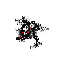 CCCS(=O)(=O)NCCCOc1ccc(NC(=O)NC(=O)C[C@@H]2NC(=O)[C@H](NC(=O)[C@@H](CC(C)C)NC)[C@H](O)c3ccc(c(C)c3)Oc3cc4cc(c3O[C@@H]3O[C@H](CN)[C@@H](O)[C@H](O)[C@H]3O)Oc3ccc(cc3Cl)[C@@H](O)[C@@H]3NC(=O)[C@H](NC(=O)[C@@H]4NC2=O)c2ccc(O)c(c2)-c2c(O)cc(O)cc2[C@@H](C(=O)NC2C4CC5CC(C4)CC2C5)NC3=O)cc1